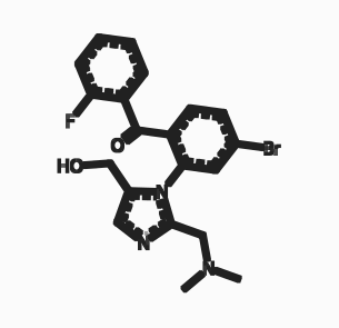 CN(C)Cc1ncc(CO)n1-c1cc(Br)ccc1C(=O)c1ccccc1F